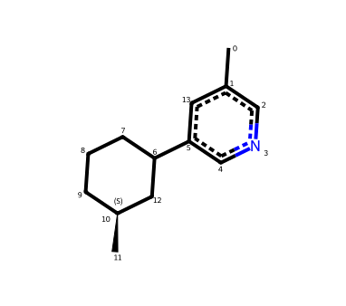 Cc1cncc(C2CCC[C@H](C)C2)c1